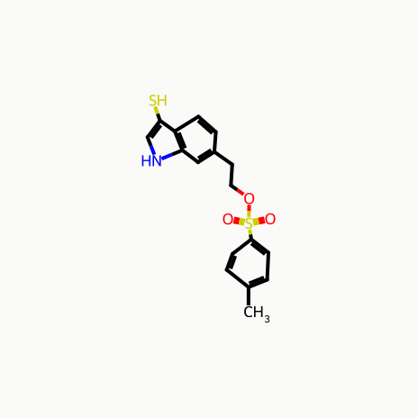 Cc1ccc(S(=O)(=O)OCCc2ccc3c(S)c[nH]c3c2)cc1